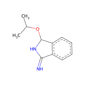 CC(C)OC1NC(=N)c2ccccc21